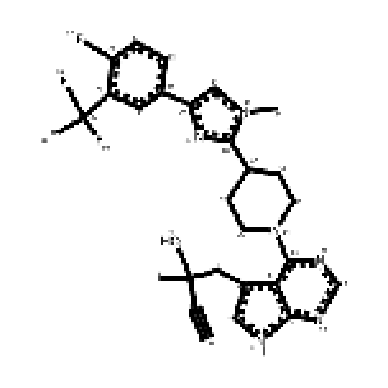 C#CC(C)(O)Cc1c[nH]c2ncnc(N3CCC(c4nc(-c5ccc(F)c(C(F)(F)F)c5)cn4C)CC3)c12